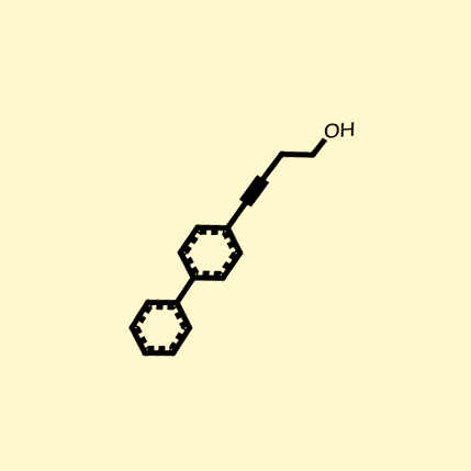 OCCC#Cc1ccc(-c2ccccc2)cc1